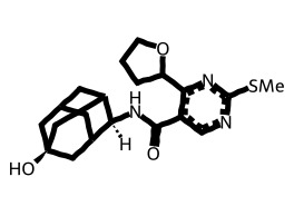 CSc1ncc(C(=O)N[C@H]2C3CC4CC2C[C@@](O)(C4)C3)c(C2CCCO2)n1